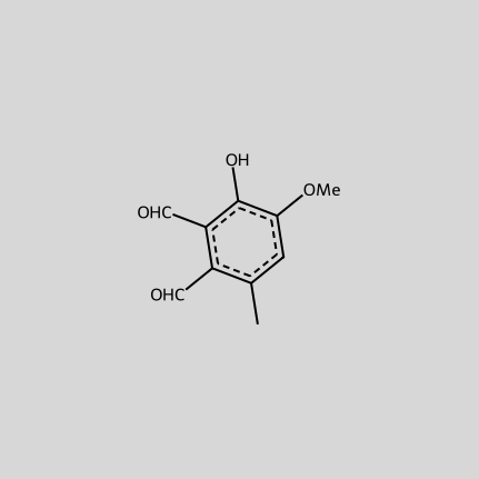 COc1cc(C)c(C=O)c(C=O)c1O